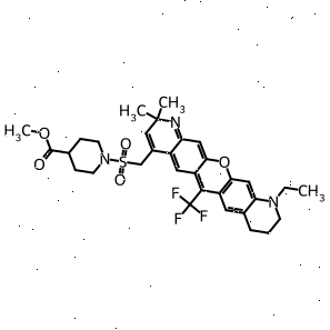 CCN1CCCc2cc3c(cc21)Oc1cc2c(cc1=C3C(F)(F)F)C(CS(=O)(=O)N1CCC(C(=O)OC)CC1)=CC(C)(C)N=2